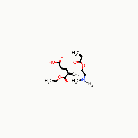 C=C(C=CC(=O)O)C(=O)OCC.C=CC(=O)OCCN(C)C